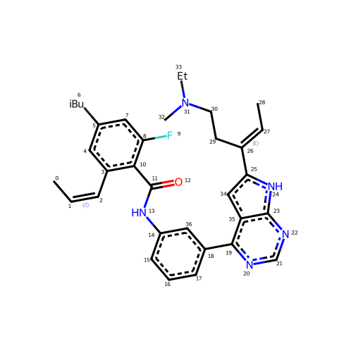 C/C=C\c1cc(C(C)CC)cc(F)c1C(=O)Nc1cccc(-c2ncnc3[nH]c(/C(=C/C)CCN(C)CC)cc23)c1